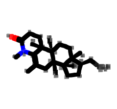 CC1=C2N(C)C(=O)CC[C@]2(C)[C@H]2CC[C@]3(C)[C@@H](CC(=O)O)CC[C@H]3[C@@H]2C1